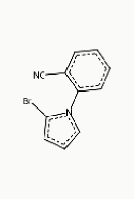 N#Cc1ccccc1-n1cccc1Br